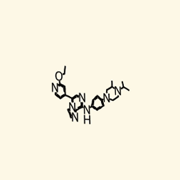 CCOc1cc(-c2cnc(Nc3ccc(N4CCN(C(C)C)C(C)C4)cc3)c3nccn23)ccn1